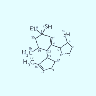 CCC1(S)C=C(C2CCCC2S)C(C2CCC=C2C)C(C)C1